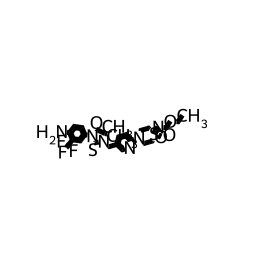 CCOC(=O)N=S1(=O)CCN(c2ccc(CN3C(=S)N(c4ccc(N)c(C(F)(F)F)c4)C(=O)C3(C)C)cn2)CC1